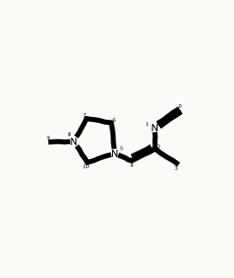 C=N/C(C)=C\N1CCN(C)C1